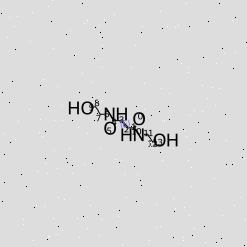 O=C(/C=C/C(=O)NCCO)NCCO